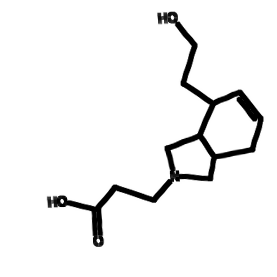 O=C(O)CCN1CC2CC=CC(CCO)C2C1